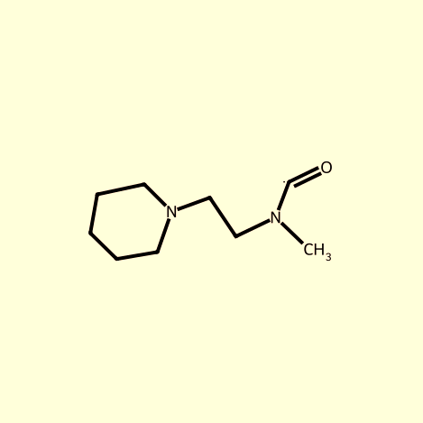 CN([C]=O)CCN1CCCCC1